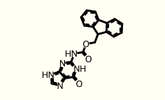 O=C(Nc1nc2[nH]cnc2c(=O)[nH]1)OCC1c2ccccc2-c2ccccc21